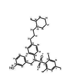 Cc1cc(C)c(S(=O)(=O)N(Cc2cccc(O)c2)c2ccc(CCCN3CCCCC3C)cc2)c(C)c1